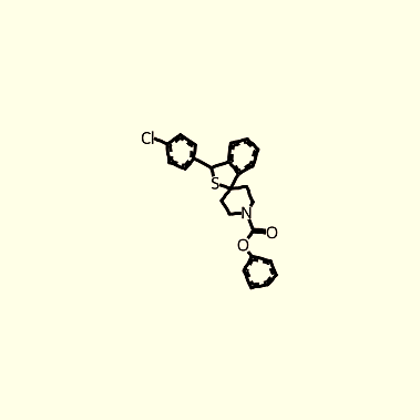 O=C(Oc1ccccc1)N1CCC2(CC1)SC(c1ccc(Cl)cc1)c1ccccc12